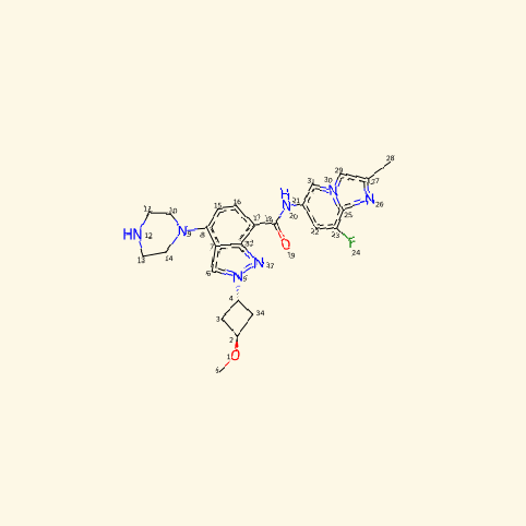 CO[C@H]1C[C@H](n2cc3c(N4CCNCC4)ccc(C(=O)Nc4cc(F)c5nc(C)cn5c4)c3n2)C1